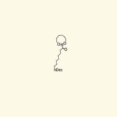 CCCCCCCCCCCCCCCCCC(=O)N1OCCCCCCO1